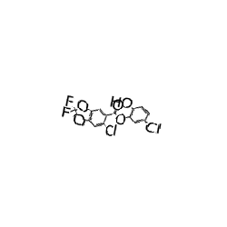 O=C(Oc1cc(Cl)ccc1O)c1cc2c(cc1Cl)OC(F)(F)O2